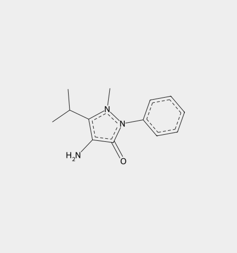 CC(C)c1c(N)c(=O)n(-c2ccccc2)n1C